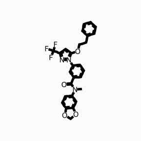 CN(C(=O)c1cccc(-n2nc(C(F)(F)F)cc2OCCc2ccccc2)c1)c1ccc2c(c1)OCO2